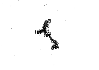 O=C1CCC(c2coc3ccc(OCCCCCNC(=O)c4ccc(CN(CC5CCNCC5)Nc5ccc(SN(Cc6ccc(Cl)cc6)C6CCCC6)cc5)cc4)cc23)C(=O)N1